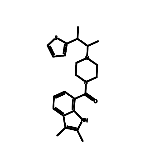 Cc1[nH]c2c(C(=O)N3CCN(C(C)C(C)c4cccs4)CC3)cccc2c1C